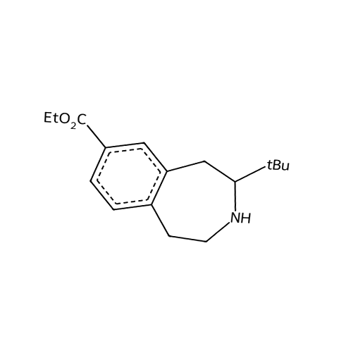 CCOC(=O)c1ccc2c(c1)CC(C(C)(C)C)NCC2